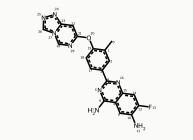 Cc1cc(-c2nc(N)c3cc(N)c(F)cc3n2)ccc1Oc1cc2nncn2cn1